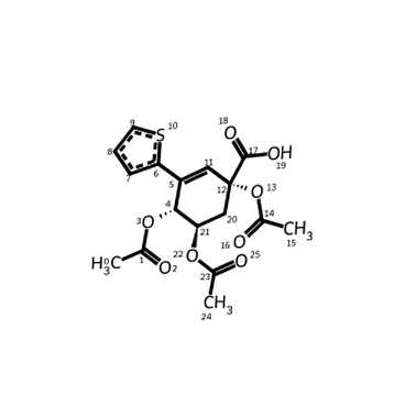 CC(=O)O[C@@H]1C(c2cccs2)=C[C@@](OC(C)=O)(C(=O)O)C[C@H]1OC(C)=O